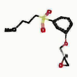 COCCCS(=O)(=O)c1cccc(OC[C@@H]2CO2)c1